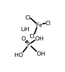 O=P(O)(O)O.[Cl][Fe]([Cl])[Cl].[LiH]